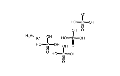 O=P(O)(O)O.O=P(O)(O)O.O=P(O)(O)O.O=P([O-])(O)O.[AsH3].[K+]